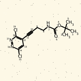 CC(C)(C)OC(=O)NCCC#Cc1cc(Cl)nnc1Cl